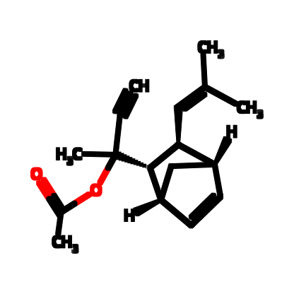 C#CC(C)(OC(C)=O)[C@@H]1[C@@H](C=C(C)C)[C@@H]2C=C[C@H]1C2